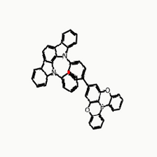 C1=CC2c3ccc4c5ccccc5n(-c5ccc(-c6cc7c8c(c6)Oc6ccccc6B8c6ccccc6O7)cc5)c4c3N(c3ccccc3)C2C=C1